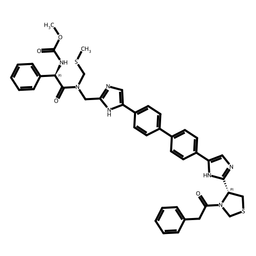 COC(=O)N[C@@H](C(=O)N(CSC)Cc1ncc(-c2ccc(-c3ccc(-c4cnc([C@@H]5CSCN5C(=O)Cc5ccccc5)[nH]4)cc3)cc2)[nH]1)c1ccccc1